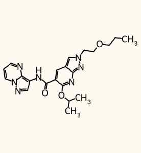 CCCOCCn1cc2cc(C(=O)Nc3cnn4cccnc34)c(OC(C)C)nc2n1